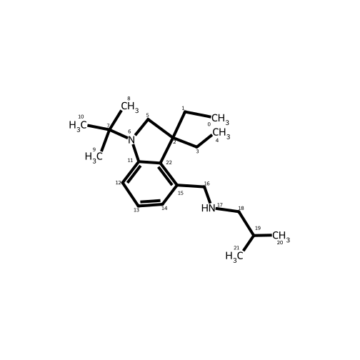 CCC1(CC)CN(C(C)(C)C)c2cccc(CNCC(C)C)c21